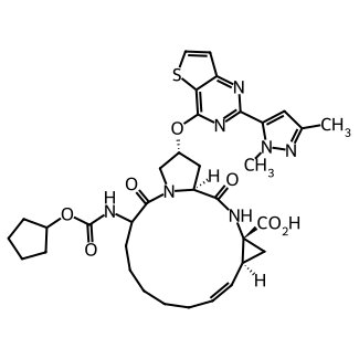 Cc1cc(-c2nc(O[C@@H]3C[C@H]4C(=O)N[C@]5(C(=O)O)C[C@H]5C=CCCCCCC(NC(=O)OC5CCCC5)C(=O)N4C3)c3sccc3n2)n(C)n1